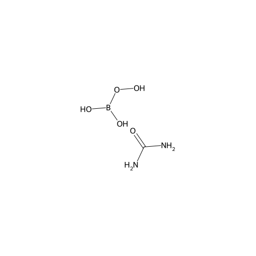 NC(N)=O.OOB(O)O